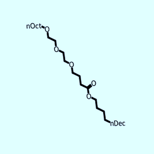 CCCCCCCCCCCCCCOC(=O)CCCOCCOCCOCCCCCCCC